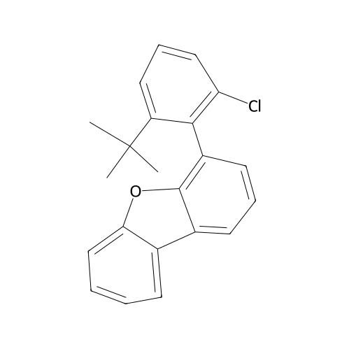 CC(C)(C)c1cccc(Cl)c1-c1cccc2c1oc1ccccc12